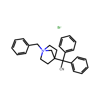 N#CC(c1ccccc1)(c1ccccc1)C12CC[N+](Cc3ccccc3)(CC1)C2.[Br-]